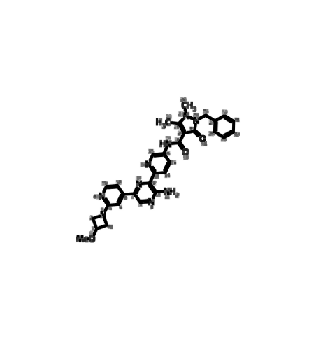 COC1CN(c2cc(-c3cnc(N)c(-c4ccc(NC(=O)c5c(C)n(C)n(Cc6ccccc6)c5=O)cn4)n3)ccn2)C1